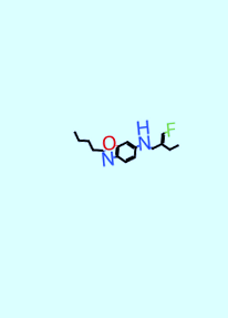 CCCCc1nc2ccc(NCC(=CF)CC)cc2o1